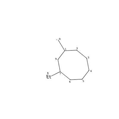 [CH2]C1CCCCCC(CC)C1